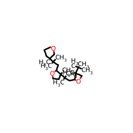 CC(C)(C)C1(C)COC1CC(C)(C)C1(C)CCOC1CC(C)(C)C1(C)CCCOC1